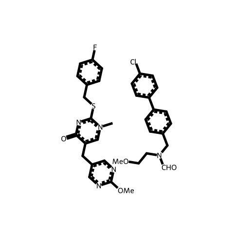 COCCN(C=O)Cc1ccc(-c2ccc(Cl)cc2)cc1.COc1ncc(Cc2cn(C)c(SCc3ccc(F)cc3)nc2=O)cn1